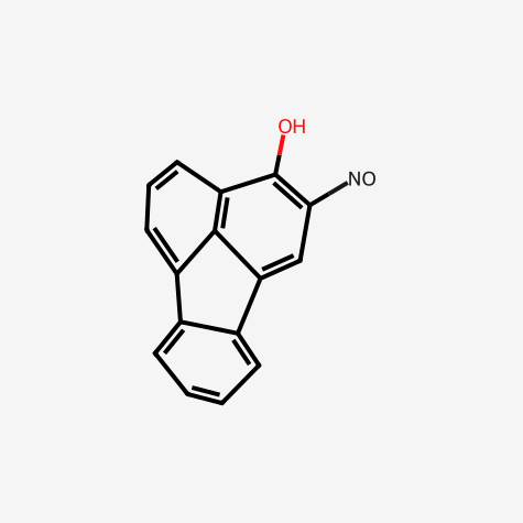 O=Nc1cc2c3c(cccc3c1O)-c1ccccc1-2